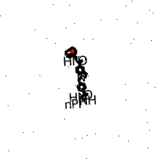 CCCNNC(=O)c1ccc(Cn2ccc3cc(C(=O)NCC45CC6CC(CC(C6)C4)C5)ccc32)cc1